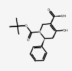 CC(C)(C)OC(=O)N1CC(C(=O)O)=C(O)C[C@H]1c1ccccc1